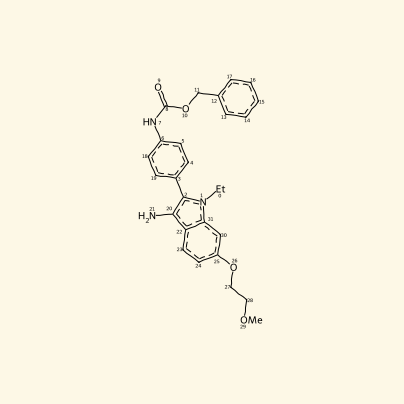 CCn1c(-c2ccc(NC(=O)OCc3ccccc3)cc2)c(N)c2ccc(OCCOC)cc21